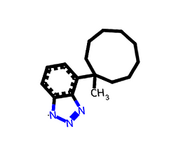 CC1(c2cccc3c2N=N[N]3)CCCCCCCC1